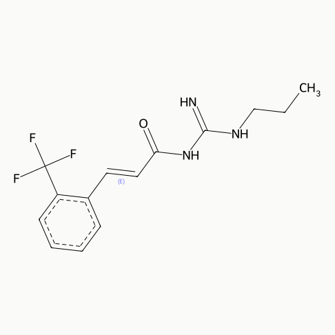 CCCNC(=N)NC(=O)/C=C/c1ccccc1C(F)(F)F